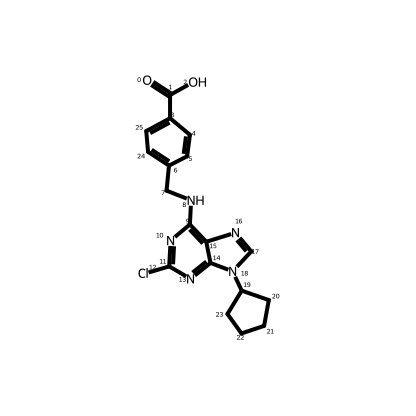 O=C(O)c1ccc(CNc2nc(Cl)nc3c2ncn3C2CCCC2)cc1